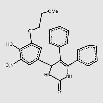 COCCOc1cc(C2NC(=O)NC(c3ccccc3)=C2c2ccccc2)cc([N+](=O)[O-])c1O